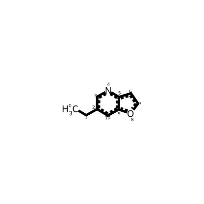 CCc1cnc2ccoc2c1